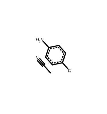 CC#N.Nc1ccc(Cl)cc1